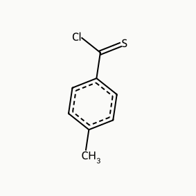 Cc1ccc(C(=S)Cl)cc1